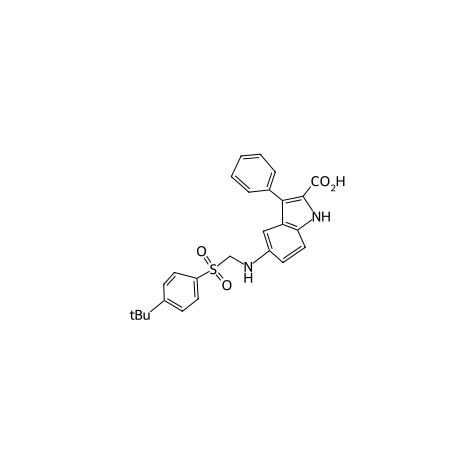 CC(C)(C)c1ccc(S(=O)(=O)CNc2ccc3[nH]c(C(=O)O)c(-c4ccccc4)c3c2)cc1